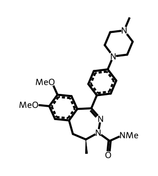 CNC(=O)N1N=C(c2ccc(N3CCN(C)CC3)cc2)c2cc(OC)c(OC)cc2C[C@@H]1C